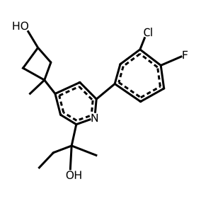 CCC(C)(O)c1cc(C2(C)CC(O)C2)cc(-c2ccc(F)c(Cl)c2)n1